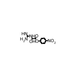 N=C(N)NC(O)C(=O)Oc1ccc([N+](=O)[O-])cc1